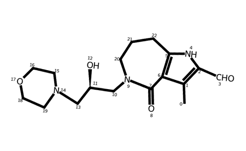 Cc1c(C=O)[nH]c2c1C(=O)N(C[C@H](O)CN1CCOCC1)CCC2